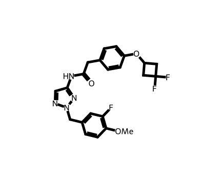 COc1ccc(Cn2ncc(NC(=O)Cc3ccc(OC4CC(F)(F)C4)cc3)n2)cc1F